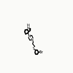 Brc1cccc(SCCCN2CCN(c3cccc4[nH]ccc34)CC2)c1